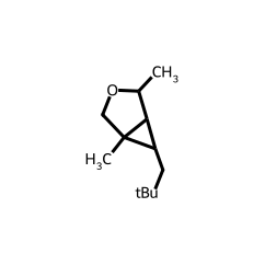 CC1OCC2(C)C(CC(C)(C)C)C12